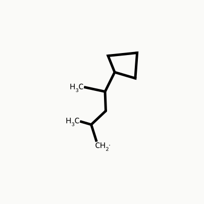 [CH2]C(C)CC(C)C1CCC1